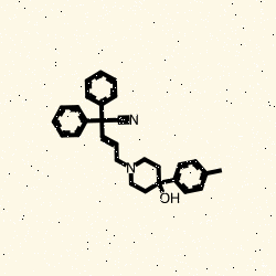 Cc1ccc(C2(O)CCN(CC=CC(C#N)(c3ccccc3)c3ccccc3)CC2)cc1